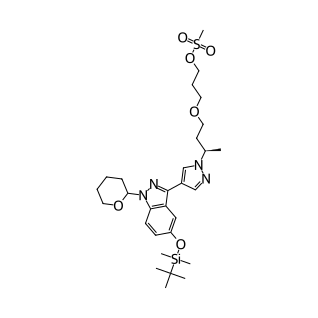 C[C@H](CCOCCCOS(C)(=O)=O)n1cc(-c2nn(C3CCCCO3)c3ccc(O[Si](C)(C)C(C)(C)C)cc23)cn1